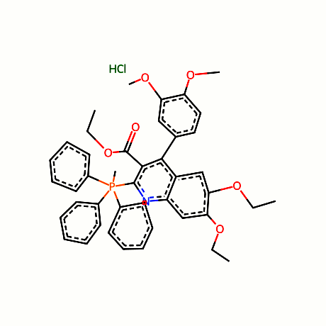 CCOC(=O)c1c(P(C)(c2ccccc2)(c2ccccc2)c2ccccc2)nc2cc(OCC)c(OCC)cc2c1-c1ccc(OC)c(OC)c1.Cl